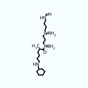 BN(CCCN(N)CCCCNCCC)C(=O)[C@H](C)CCCCNC1CCCCC1